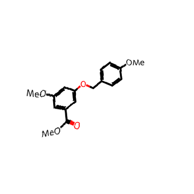 COC(=O)c1cc(OC)cc(OCc2ccc(OC)cc2)c1